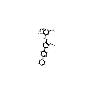 Nc1cc(OCc2ccc(-c3ccc(N4CCNCC4)nc3)cc2OC(F)(F)F)c2nn[nH]c2n1